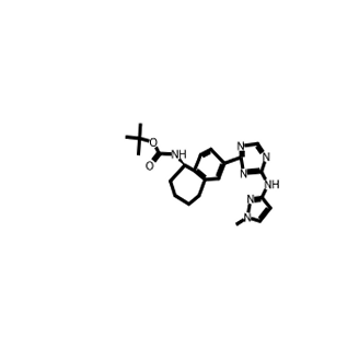 Cn1ccc(Nc2ncnc(-c3ccc4c(c3)CCCC[C@H]4NC(=O)OC(C)(C)C)n2)n1